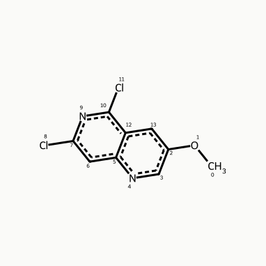 COc1cnc2cc(Cl)nc(Cl)c2c1